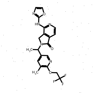 Cc1cc(C(C)N2Cc3c(ccnc3Nc3ncco3)C2=O)cnc1OCC(F)(F)F